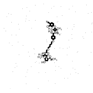 COC(=O)[C@@H]1C[C@@H](O)CN1C(=O)C(NC(=O)COCCCCCOc1ccc(C(=O)N[C@H]2C(C)(C)[C@H](Oc3ccc(C#N)c(Cl)c3)C2(C)C)cc1)C(C)(C)C